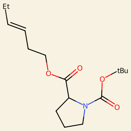 CCC=CCCOC(=O)C1CCCN1C(=O)OC(C)(C)C